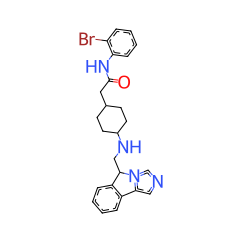 O=C(CC1CCC(NCC2c3ccccc3-c3cncn32)CC1)Nc1ccccc1Br